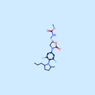 CCCC1CCC(C)N1c1c(F)cc(N2C[C@H](CNC(=O)OC)OC2=O)cc1F